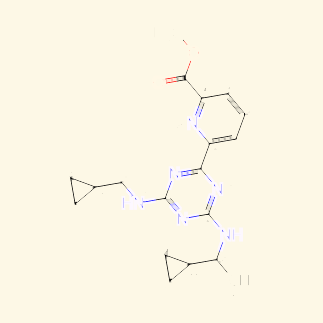 COC(=O)c1cccc(-c2nc(NCC3CC3)nc(NC(C)C3CC3)n2)n1